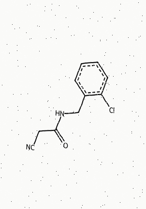 N#CCC(=O)NCc1ccccc1Cl